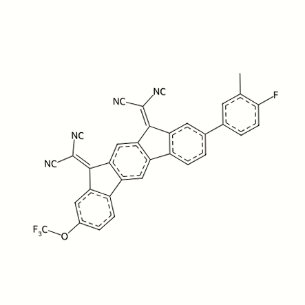 [C-]#[N+]/C(C#N)=C1/c2cc(OC(F)(F)F)ccc2-c2cc3c(cc21)/C(=C(\C#N)[N+]#[C-])c1cc(-c2ccc(F)c(C)c2)ccc1-3